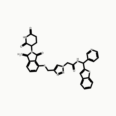 C=C1c2cccc(SCc3cn(CC(=O)NC(c4cccnc4)c4cc5ccccc5s4)nn3)c2C(=O)N1C1CCC(=O)NC1=O